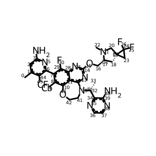 Cc1cc(N)nc(-c2c(Cl)c3c4c(nc(OC[C@@H]5C[C@@]6(CN5C)CC6(F)F)nc4c2F)N([C@H](C)c2nccnc2N)CCO3)c1C(F)(F)F